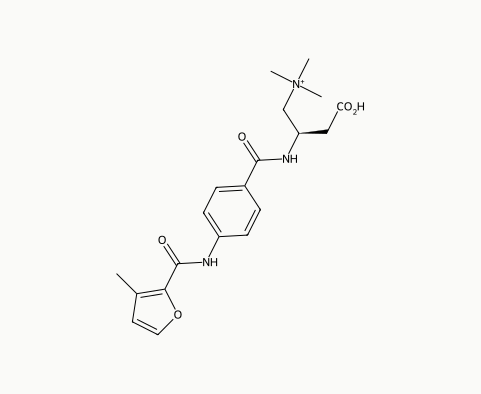 Cc1ccoc1C(=O)Nc1ccc(C(=O)N[C@H](CC(=O)O)C[N+](C)(C)C)cc1